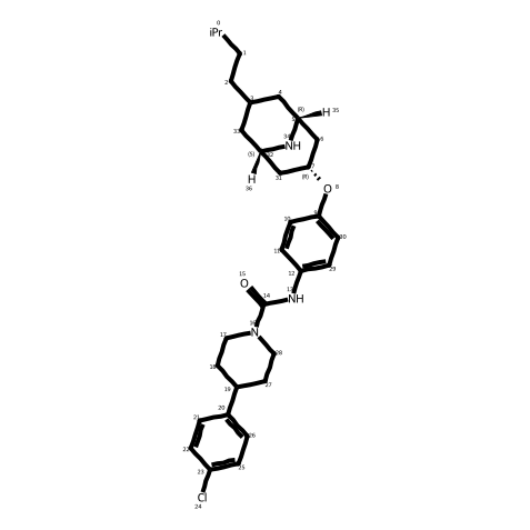 CC(C)CCC1C[C@@H]2C[C@H](Oc3ccc(NC(=O)N4CCC(c5ccc(Cl)cc5)CC4)cc3)C[C@H](C1)N2